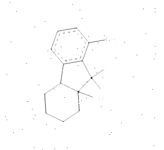 CC1(C)c2c(N)cccc2C2CCCCC21C